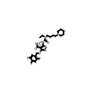 CCN(CCCCN1CCCCC1)C(=O)Nc1snc(OCc2cc(F)c(C)cc2F)c1C(N)=O